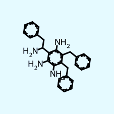 Nc1c(N)c(C(N)Cc2ccccc2)c(N)c(Cc2ccccc2)c1Cc1ccccc1